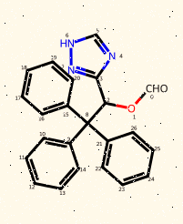 O=COC(c1nc[nH]n1)C(c1ccccc1)(c1ccccc1)c1ccccc1